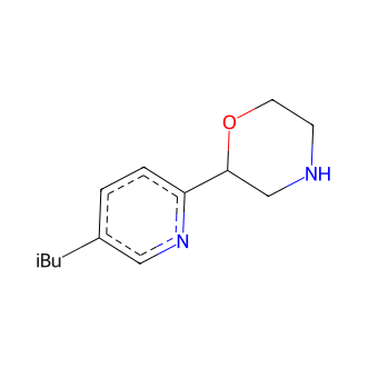 CCC(C)c1ccc(C2CNCCO2)nc1